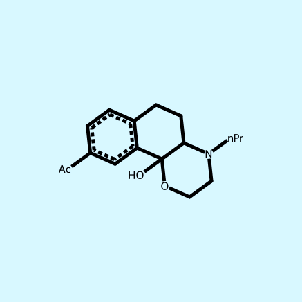 CCCN1CCOC2(O)c3cc(C(C)=O)ccc3CCC12